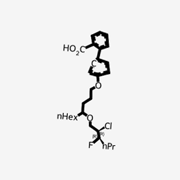 CCCCCCC(CCCOc1ccc(-c2ccccc2C(=O)O)cc1)OC[C@@H](Cl)[C@H](F)CCC